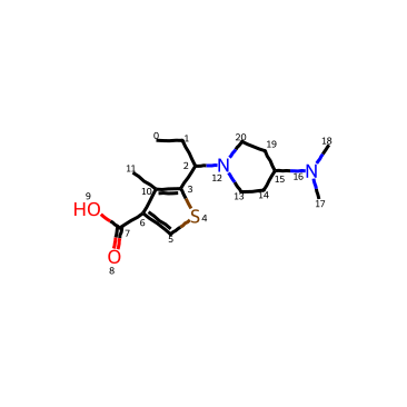 CCC(c1scc(C(=O)O)c1C)N1CCC(N(C)C)CC1